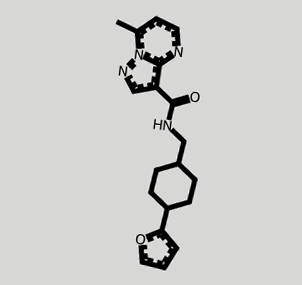 Cc1ccnc2c(C(=O)NCC3CCC(c4ccco4)CC3)cnn12